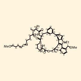 CCn1c(-c2cnccc2COC)c2c3cc(ccc31)-c1cccc(c1)C[C@H](NC(=O)C(C(C)C)N(C)C(=O)CCCN=C=NCCCOC)C(=O)N1CCC[C@H](N1)C(=O)OCC(C)(C)C2